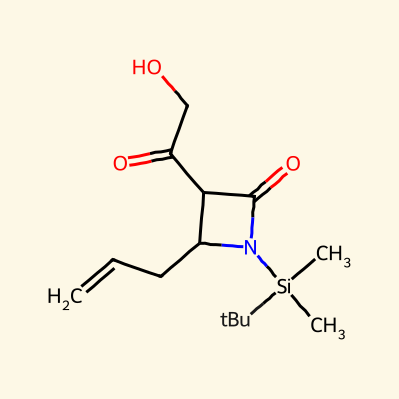 C=CCC1C(C(=O)CO)C(=O)N1[Si](C)(C)C(C)(C)C